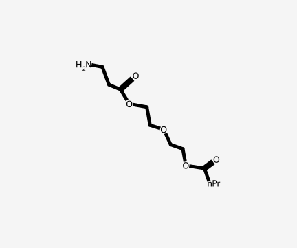 CCCC(=O)OCCOCCOC(=O)CCN